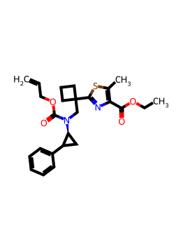 C=CCOC(=O)N(CC1(c2nc(C(=O)OCC)c(C)s2)CCC1)[C@H]1CC1c1ccccc1